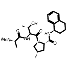 CN[C@@H](C)C(=O)N[C@H](C(=O)N1C[C@@H](C)C[C@H]1C(=O)N[C@@H]1CCCc2ccccc21)[C@H](C)O